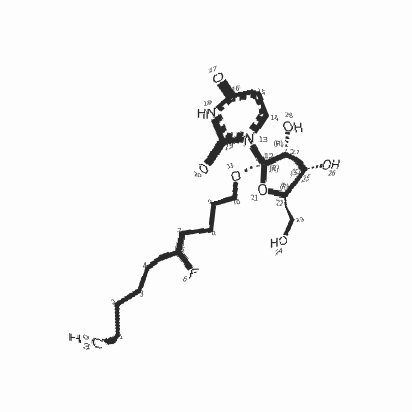 CCCCCC(F)CCCCO[C@@]1(n2ccc(=O)[nH]c2=O)O[C@H](CO)[C@@H](O)[C@H]1O